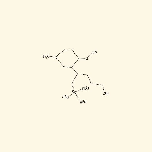 CCC[CH2][Sn]([CH2]CCC)([CH2]CCC)[CH2]C(CCCO)C1CN(C)CCC1OCCC